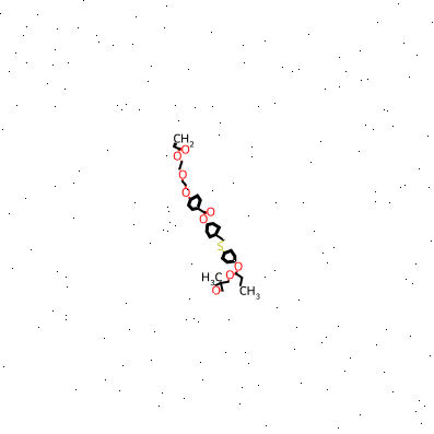 C=CC(=O)OCCOCCOc1ccc(C(=O)Oc2ccc(CSc3ccc(OC(CCC)OCC4(C)COC4)cc3)cc2)cc1